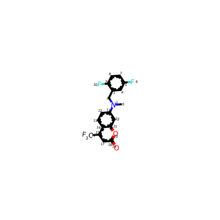 CN(Cc1cc(F)ccc1F)c1ccc2c(C(F)(F)F)cc(=O)oc2c1